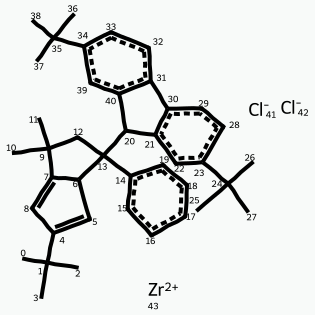 CC(C)(C)C1=CC2C(=C1)C(C)(C)CC2(c1ccccc1)C1c2cc(C(C)(C)C)ccc2-c2ccc(C(C)(C)C)cc21.[Cl-].[Cl-].[Zr+2]